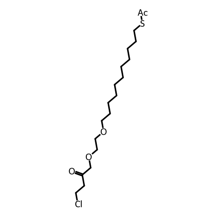 CC(=O)SCCCCCCCCCCCOCCOCC(=O)CCCl